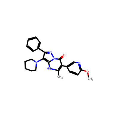 COc1ccc(-c2c(C)[nH]c3c(N4CCCCC4)c(-c4ccccc4)nn3c2=O)cn1